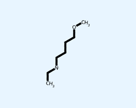 CC[N]CCCCOC